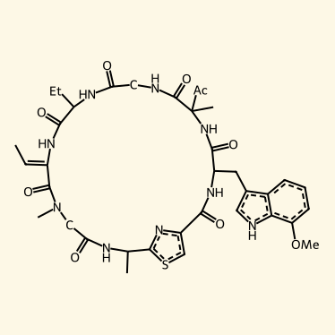 C/C=C1\NC(=O)C(CC)NC(=O)CNC(=O)C(C)(C(C)=O)NC(=O)C(Cc2c[nH]c3c(OC)cccc23)NC(=O)c2csc(n2)C(C)NC(=O)CN(C)C1=O